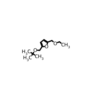 CCOCc1ccc(COC(C)(C)C)o1